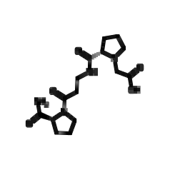 NC(=O)[C@@H]1CCCN1C(=O)CCNC(=O)[C@@H]1CCCN1CC(=O)O